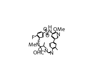 CNC(=O)C(C)CN(C=O)/C=N\c1ccc(-c2cnc(OC)c(NS(=O)(=O)c3ccc(F)c(F)c3)c2)cc1C